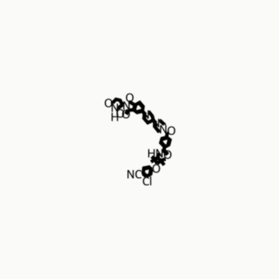 CC1(C)C(NC(=O)c2ccc(C(=O)N3CCN(C4CCN(c5ccc6c(c5)C(=O)N(C5CCC(=O)NC5=O)C6=O)CC4)CC3)cc2)C(C)(C)C1Oc1ccc(C#N)c(Cl)c1